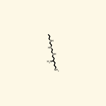 CCCNCCNCCNCCC(N)CCCN